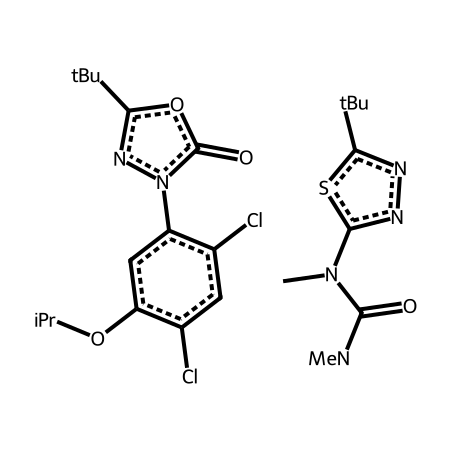 CC(C)Oc1cc(-n2nc(C(C)(C)C)oc2=O)c(Cl)cc1Cl.CNC(=O)N(C)c1nnc(C(C)(C)C)s1